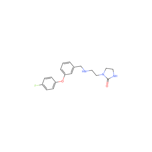 O=C1NCCN1CCNCc1cccc(Oc2ccc(F)cc2)c1